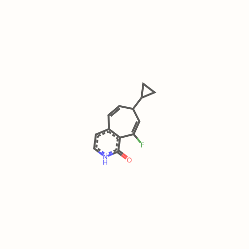 O=c1[nH]ccc2c1C(F)=CC(C1CC1)C=C2